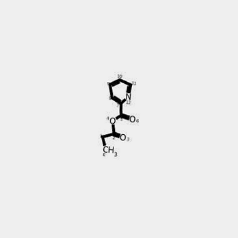 CCC(=O)OC(=O)c1ccccn1